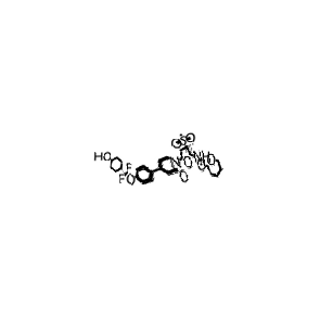 C[C@@](CCn1ccc(-c2ccc(OC(F)(F)[C@H]3CC[C@H](O)CC3)cc2)cc1=O)(C(=O)NOC1CCCCO1)S(C)(=O)=O